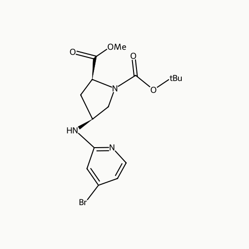 COC(=O)[C@@H]1C[C@H](Nc2cc(Br)ccn2)CN1C(=O)OC(C)(C)C